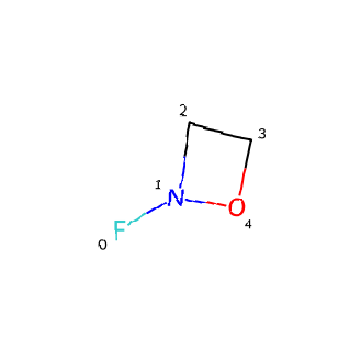 FN1CCO1